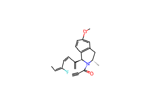 C#CC(=O)N1[C@@H](C)Cc2cc(OC)ccc2[C@@H]1C(=C)/C=C\C(F)=C/C